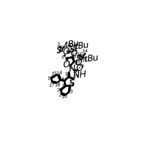 CC(C)(C)[Si](C)(C)OC[C@H]1O[C@@H](n2cc(C(c3ccccc3)c3ccccc3)c(=S)[nH]c2=O)[C@H](O[Si](C)(C)C(C)(C)C)[C@@H]1O[Si](C)(C)C(C)(C)C